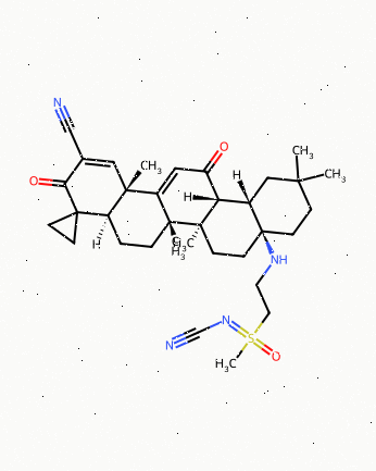 CC1(C)CC[C@]2(NCCS(C)(=O)=NC#N)CC[C@]3(C)[C@H](C(=O)C=C4[C@@]5(C)C=C(C#N)C(=O)C6(CC6)[C@@H]5CC[C@]43C)[C@@H]2C1